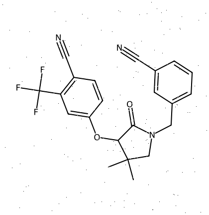 CC1(C)CN(Cc2cccc(C#N)c2)C(=O)C1Oc1ccc(C#N)c(C(F)(F)F)c1